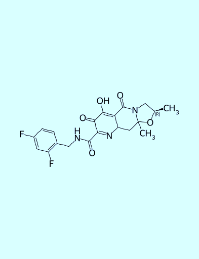 C[C@@H]1CN2C(=O)C3=C(O)C(=O)C(C(=O)NCc4ccc(F)cc4F)=NC3CC2(C)O1